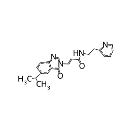 CC(C)c1ccc2ncn(/C=C/C(=O)NCCc3ccccn3)c(=O)c2c1